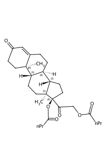 CCCC(=O)OCC(=O)[C@@]1(OC(=O)CCC)CC[C@H]2[C@@H]3CCC4=CC(=O)CC[C@]4(C)[C@H]3CC[C@@]21C